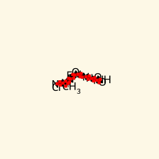 C[C@H]1CC2(CCN(c3ccc(C(=O)N4CCC5(CC4)CC(N4CCN(c6ccc(N7CCC(=O)NC7=O)cc6)CC4)C5)cc3F)CC2)CN1c1ccc(C#N)c(Cl)c1